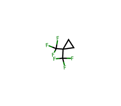 FC(F)(F)C1(C(F)(F)F)CC1